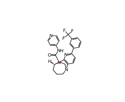 O=C(Nc1ccncc1)N1c2nc(-c3cccc(C(F)(F)F)c3)ccc2N2CCC[C@@H]1CC2